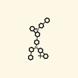 CC1(C)c2ccccc2-c2ccc(N(c3ccc(-c4ccc5c(c4)c4ccccc4n5-c4ccc(-c5ccccc5)cc4)cc3)c3cccc(-c4ccccc4)c3)cc21